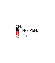 C=O.[PbH2].[PbH2]